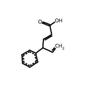 C=CC(C=CC(=O)O)c1ccccc1